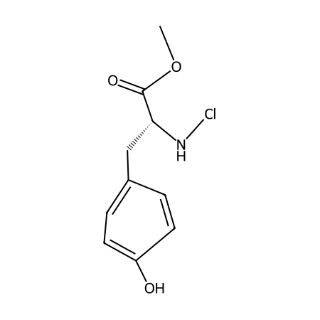 COC(=O)[C@@H](Cc1ccc(O)cc1)NCl